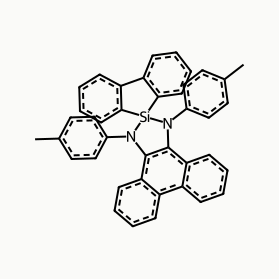 Cc1ccc(N2c3c(c4ccccc4c4ccccc34)N(c3ccc(C)cc3)[Si]23c2ccccc2-c2ccccc23)cc1